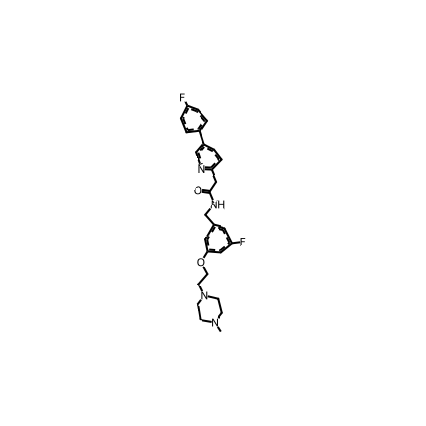 CN1CCN(CCOc2cc(F)cc(CNC(=O)Cc3ccc(-c4ccc(F)cc4)cn3)c2)CC1